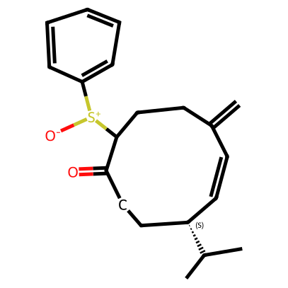 C=C1C=C[C@H](C(C)C)CCC(=O)C([S+]([O-])c2ccccc2)CC1